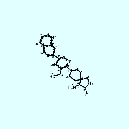 C[C@@H]1OCC2(CCN(c3ncc(-c4ccc5nccnc5c4)nc3CO)CC2)[C@@H]1N